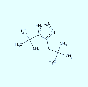 CC(C)(C)Cc1nn[nH]c1C(C)(C)C